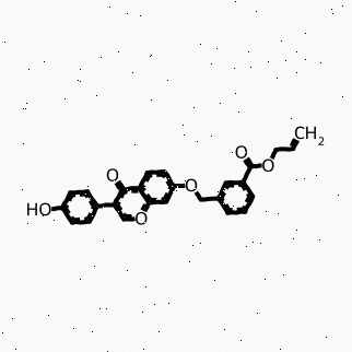 C=CCOC(=O)c1cccc(COc2ccc3c(=O)c(-c4ccc(O)cc4)coc3c2)c1